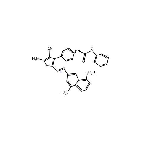 N#Cc1c(N)sc(/N=N/c2cc(S(=O)(=O)O)c3cccc(S(=O)(=O)O)c3c2)c1-c1ccc(NC(=O)Nc2ccccc2)cc1